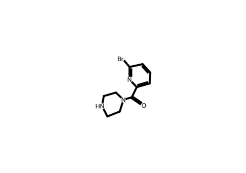 O=C(c1cccc(Br)n1)N1CCNCC1